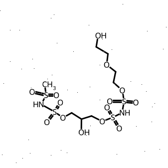 CS(=O)(=O)NS(=O)(=O)OCC(O)COS(=O)(=O)NS(=O)(=O)OCCOCCO